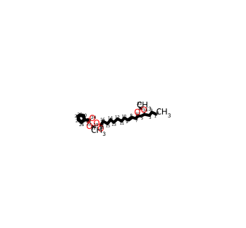 CCCCCCC(CC=CCCCCCCCC(=O)OC(C)OC(=O)c1ccccc1)OC(C)=O